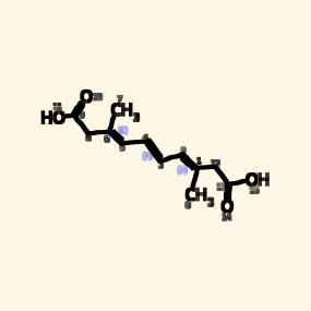 C\C(=C/C=C/C=C(\C)CC(=O)O)CC(=O)O